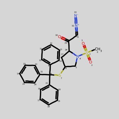 CS(=O)(=O)N1CC(SC(c2ccccc2)(c2ccccc2)c2ccccc2)CC1C(=O)C=[N+]=[N-]